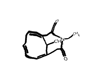 CC1C2=CC=CC=C1C(=O)N(C)C2=O